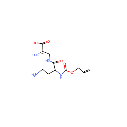 C=CCOC(=O)NC(CCN)C(=O)NC[C@H](N)C(=O)O